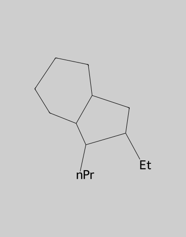 CCCC1C(CC)CC2CCCCC21